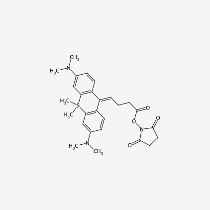 CN(C)c1ccc2c(c1)[Si](C)(C)c1cc(N(C)C)ccc1C2=CCCC(=O)ON1C(=O)CCC1=O